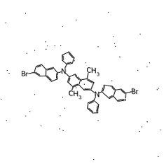 Cc1cc(N(c2ccccc2)c2ccc3cc(Br)ccc3c2)cc2c(C)cc(N(c3ccccc3)c3ccc4cc(Br)ccc4c3)cc12